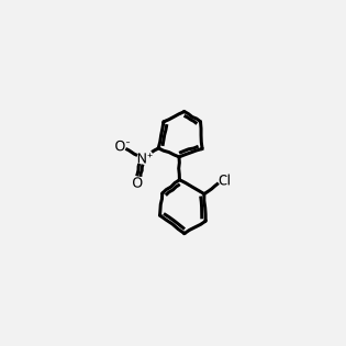 O=[N+]([O-])c1ccccc1-c1ccccc1Cl